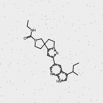 CCNC(=O)N1CCC2(CCn3nc(-c4cnc5[nH]cc(C(C)CC)c5c4)cc32)C1